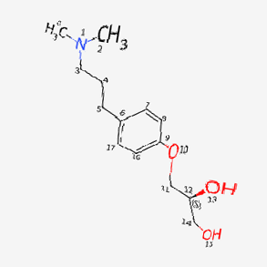 CN(C)CCCc1ccc(OC[C@@H](O)CO)cc1